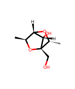 C[C@@H]1O[C@@]2(CO)[C@@H](C)O[C@@H]1[C@@H]2O